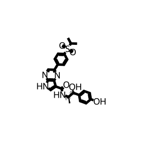 CC(C)S(=O)(=O)c1ccc(-c2cnc3[nH]cc(C(=O)N[C@H](C)[C@@H](O)c4ccc(O)cc4)c3n2)cc1